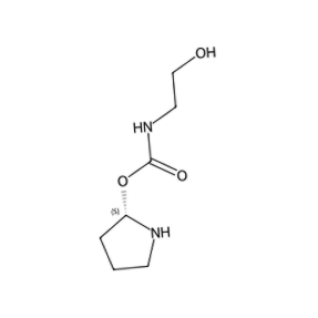 O=C(NCCO)O[C@H]1CCCN1